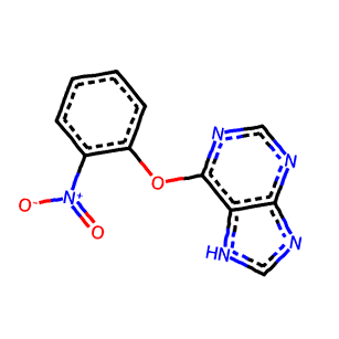 O=[N+]([O-])c1ccccc1Oc1ncnc2nc[nH]c12